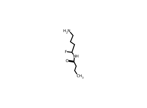 CCCC(=O)NC(F)CCCN